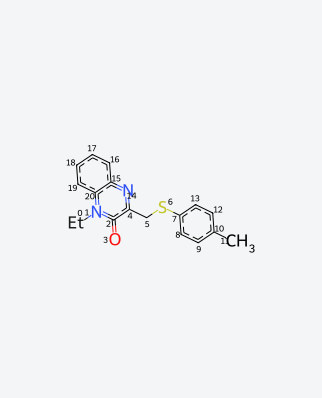 CCn1c(=O)c(CSc2ccc(C)cc2)nc2ccccc21